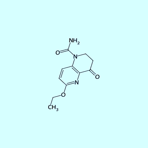 CCOc1ccc2c(n1)C(=O)CCN2C(N)=O